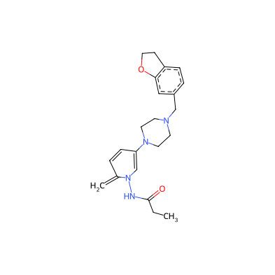 C=C1C=CC(N2CCN(Cc3ccc4c(c3)OCC4)CC2)=CN1NC(=O)CC